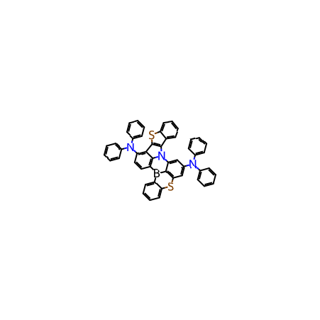 c1ccc(N(c2ccccc2)c2cc3c4c(c2)-n2c5c(ccc(N(c6ccccc6)c6ccccc6)c5c5sc6ccccc6c52)B4c2ccccc2S3)cc1